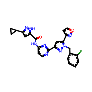 O=C(Nc1ccnc(-c2cc(-c3ccon3)n(Cc3ccccc3F)n2)n1)c1cc(C2CC2)n[nH]1